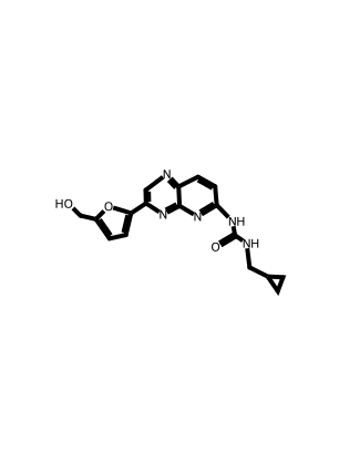 O=C(NCC1CC1)Nc1ccc2ncc(-c3ccc(CO)o3)nc2n1